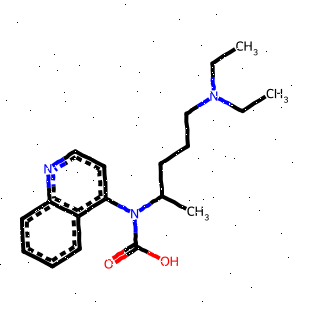 CCN(CC)CCCC(C)N(C(=O)O)c1ccnc2ccccc12